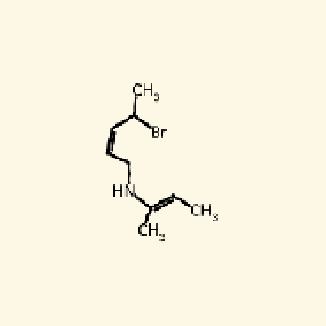 CC=C(C)NC/C=C\C(C)Br